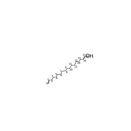 C=CCCCCCCCCCCCCCCC=CO